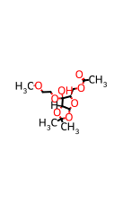 COCCO[C@]1(O)[C@@H](COC(C)=O)OC2OC(C)(C)O[C@@H]21